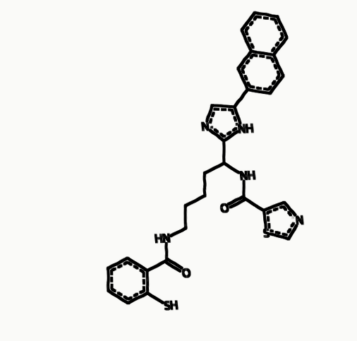 O=C(NC(CCCCNC(=O)c1ccccc1S)c1ncc(-c2ccc3ccccc3c2)[nH]1)c1cncs1